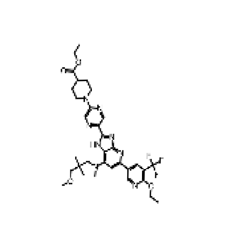 CCOC(=O)C1CCN(c2cnc(-c3nc4nc(-c5cnc(OCC)c(C(F)(F)F)c5)cc(N(C)CC(C)(C)COC)c4[nH]3)cn2)CC1